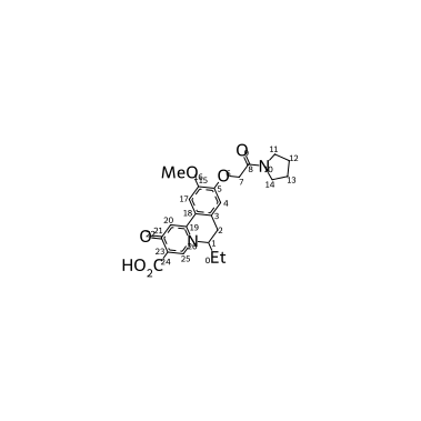 CCC1Cc2cc(OCC(=O)N3CCCC3)c(OC)cc2-c2cc(=O)c(C(=O)O)cn21